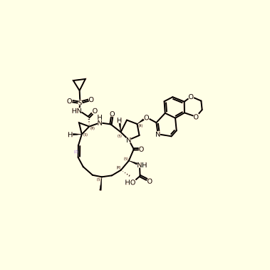 C[C@H]1CC/C=C\[C@@H]2C[C@@]2(C(=O)NS(=O)(=O)C2CC2)NC(=O)[C@@H]2C[C@@H](Oc3nccc4c5c(ccc34)OCCO5)CN2C(=O)[C@@H](NC(=O)O)[C@H](C)C1